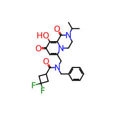 CC(C)N1CCn2c(CN(Cc3ccccc3)C(=O)C3CC(F)(F)C3)cc(=O)c(O)c2C1=O